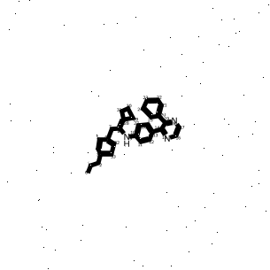 CCCc1ccc(CC(Nc2ccc(-c3nccnc3-c3ccccc3)cc2)=C2CCC2)cc1